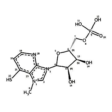 C[n+]1cn(C2O[C@H](COP(=O)(O)O)[C@@H](O)[C@H]2O)c2nccc(S)c21